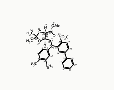 CO[C@@H]1O[C@H]([C@H](c2ccc(C(F)(F)F)c(C)c2)c2cc(-c3ccccc3)ccc2C(=O)O)[C@H]2OC(C)(C)O[C@@H]12